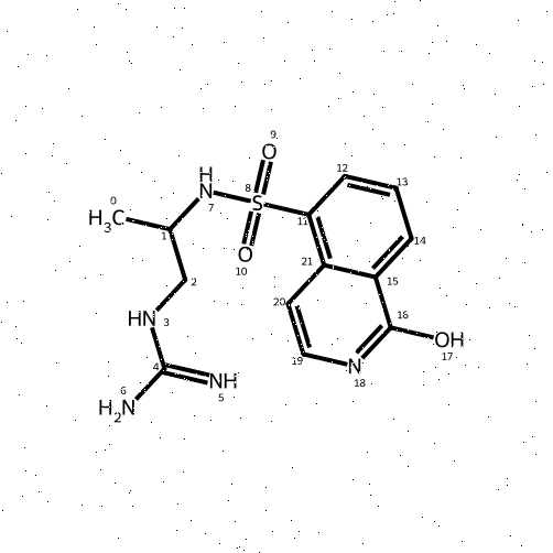 CC(CNC(=N)N)NS(=O)(=O)c1cccc2c(O)nccc12